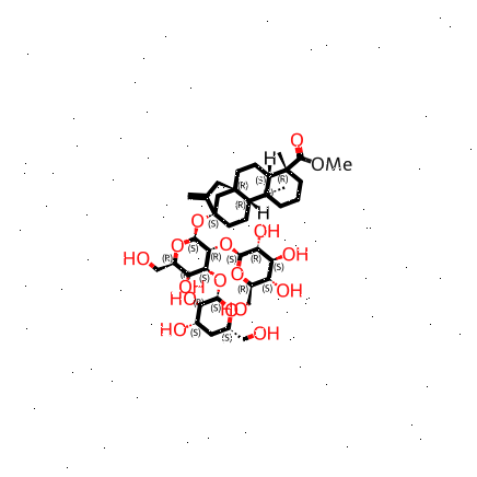 C=C1C[C@@]23CC[C@H]4[C@@](C)(CCC[C@@]4(C)C(=O)OC)[C@@H]2CC[C@]1(O[C@@H]1O[C@H](CO)[C@@H](O)[C@H](O[C@@H]2O[C@H](CO)C[C@H](O)[C@H]2O)[C@H]1O[C@@H]1O[C@H](CO)[C@@H](O)[C@H](O)[C@H]1O)C3